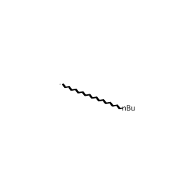 [CH]=C/C=C/C=C/C=C/C=C/C=C/C=C/C=C/C=C/CCCC